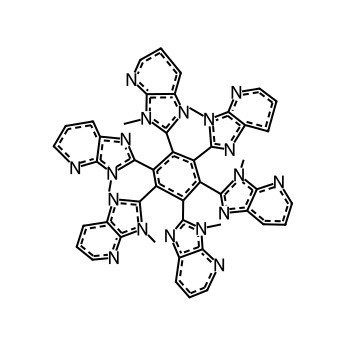 Cn1c(-c2c(-c3nc4cccnc4n3C)c(-c3nc4cccnc4n3C)c(-c3nc4cccnc4n3C)c(-c3nc4cccnc4n3C)c2-c2nc3cccnc3n2C)nc2cccnc21